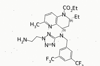 CCOC(=O)N1c2ccc(C)nc2[C@@H](N(Cc2cc(C(F)(F)F)cc(C(F)(F)F)c2)c2nnn(CCN)n2)C[C@H]1CC